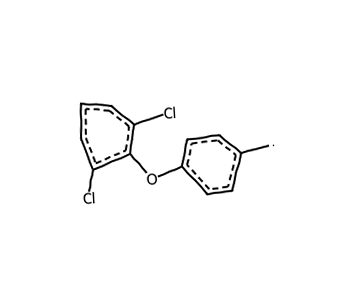 [CH2]c1ccc(Oc2c(Cl)cccc2Cl)cc1